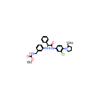 CSC1=[N+](c2ccc(NC(=O)C(Nc3cccc(CNC(=O)OC(C)(C)C)c3)c3ccccc3)cc2Cl)CCC1